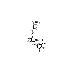 N=C(Nc1cc(F)c(F)c(C(F)F)c1)c1nonc1SCCNC(=O)CS(N)(=O)=O